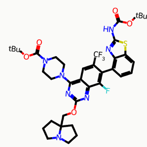 CC(C)(C)OC(=O)Nc1nc2c(-c3c(C(F)(F)F)cc4c(N5CCN(C(=O)OC(C)(C)C)CC5)nc(OCC56CCCN5CCC6)nc4c3F)cccc2s1